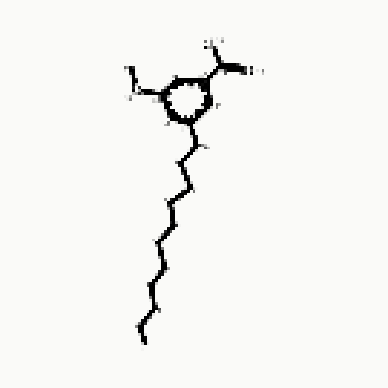 CCCCCCCCCCCc1cc(OC)cc(C(=O)Cl)c1